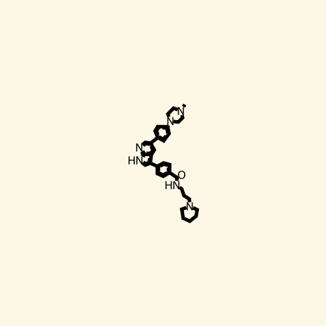 CN1CCN(c2ccc(-c3cnc4[nH]cc(-c5ccc(C(=O)NCCCN6CCCCC6)cc5)c4c3)cc2)CC1